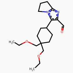 CCOCC1(COCC)CCC(c2c(C=O)nc3n2CCC3)CC1